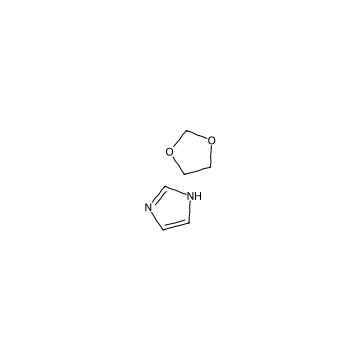 C1COCO1.c1c[nH]cn1